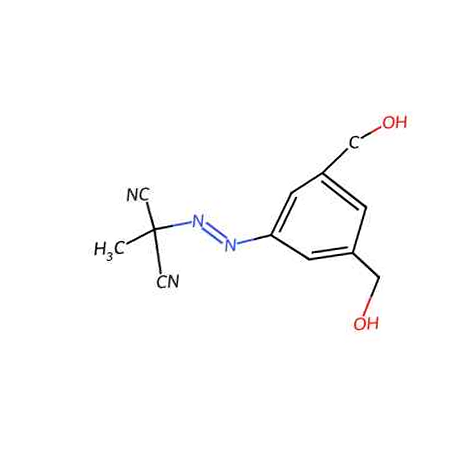 CC(C#N)(C#N)N=Nc1cc(CO)cc(CO)c1